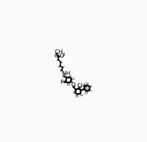 COC(=O)CCCCCNCc1ccc(OCc2cccc(-c3ccccc3)c2C)cc1F